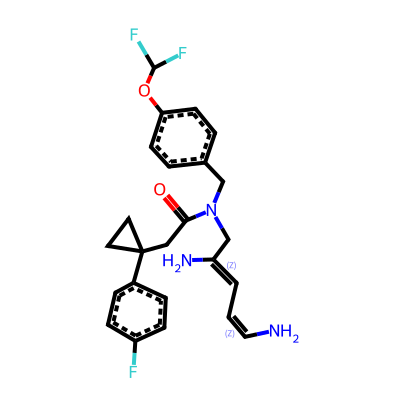 N/C=C\C=C(/N)CN(Cc1ccc(OC(F)F)cc1)C(=O)CC1(c2ccc(F)cc2)CC1